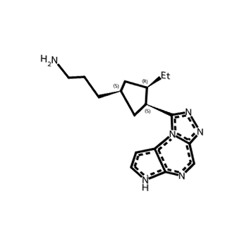 CC[C@@H]1C[C@H](CCCN)C[C@@H]1c1nnc2cnc3[nH]ccc3n12